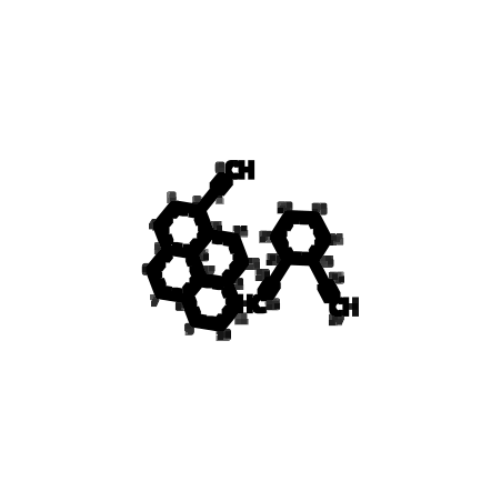 C#Cc1ccc2ccc3cccc4ccc1c2c34.C#Cc1ccccc1C#C